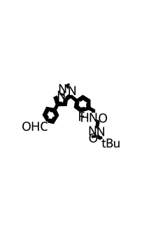 CC(C)(C)c1nc(C(=O)NCc2ccc(-c3ncnn4cc(-c5ccc(C=O)cc5)cc34)cc2F)no1